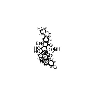 CCn1c(C(O)C(=O)[C@@]2(O)CC[C@H]3[C@@H]4CCC5=CC(=O)CC[C@]5(C)[C@H]4C(=O)C[C@@]32C)c(C(=O)O)c(=O)c2cc(F)c(N3CCNCC3)cc21.Cl